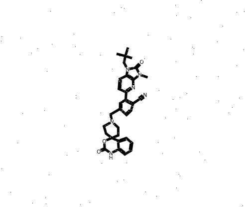 Cn1c(=O)n(CC(C)(C)C)c2ccc(-c3cc(CN4CCC5(CC4)OC(=O)Nc4ccccc45)ccc3C#N)nc21